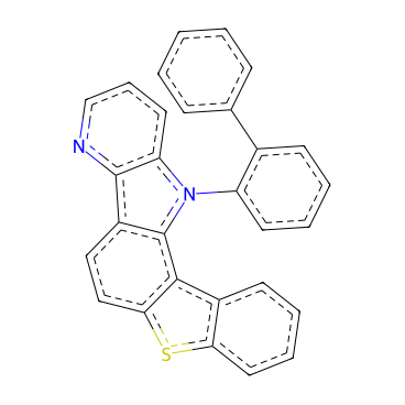 c1ccc(-c2ccccc2-n2c3cccnc3c3ccc4sc5ccccc5c4c32)cc1